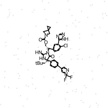 CC(C)(C)C[C@]1(c2ccc(-c3cnn(C(F)F)c3)cc2)NC(=N)N([C@H](COC(=O)N2CC3(CC3)C2)c2ccc(Cl)c(-c3ncn[nH]3)c2)C1=O